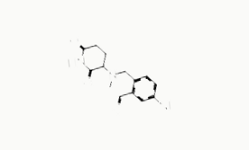 CN(Cc1ccc(N)cc1C=O)C1CCC(=O)NC1=O